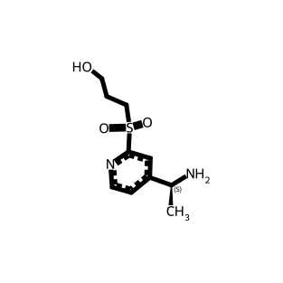 C[C@H](N)c1ccnc(S(=O)(=O)CCCO)c1